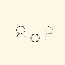 Cc1cnn(Cc2ccc(C(C(=O)O)C3CCCC3)cc2)c(=O)c1